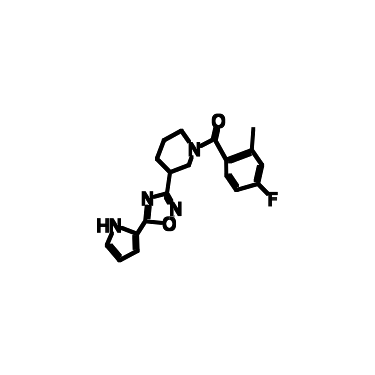 Cc1cc(F)ccc1C(=O)N1CCCC(c2noc(-c3ccc[nH]3)n2)C1